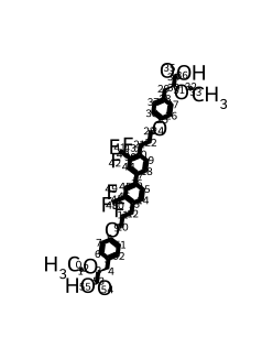 CCO[C@@H](Cc1ccc(OCCCc2ccc(-c3ccc(CCCOc4ccc(C[C@H](OCC)C(=O)O)cc4)c(C(F)(F)F)c3)cc2C(F)(F)F)cc1)C(=O)O